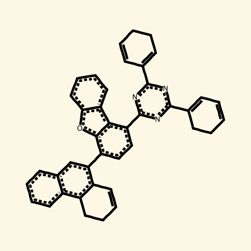 C1=CCCC(c2nc(C3=CCCC=C3)nc(-c3ccc(-c4cc5ccccc5c5c4C=CCC5)c4oc5ccccc5c34)n2)=C1